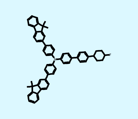 CC1(C)c2ccccc2-c2ccc(-c3ccc(N(c4ccc(-c5ccc(C6CCC(F)CC6)cc5)cc4)c4ccc(-c5ccc6c(c5)C(C)(C)c5ccccc5-6)cc4)cc3)cc21